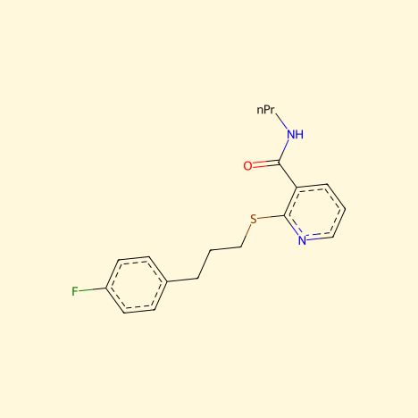 CCCNC(=O)c1cccnc1SCCCc1ccc(F)cc1